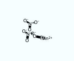 O=[N+]([O-])[O-].O=[N+]([O-])[O-].[Mn+2].[O]=[Pb]